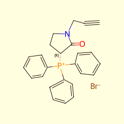 C#CCN1CC[C@@H]([P+](c2ccccc2)(c2ccccc2)c2ccccc2)C1=O.[Br-]